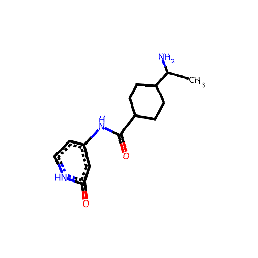 CC(N)C1CCC(C(=O)Nc2cc[nH]c(=O)c2)CC1